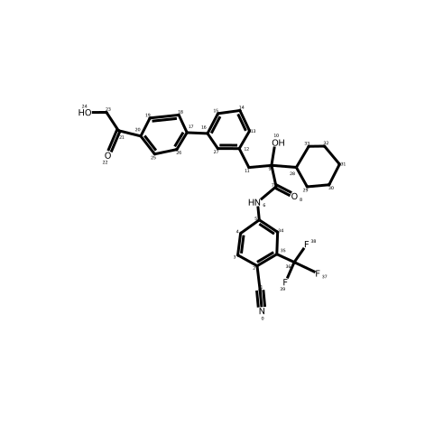 N#Cc1ccc(NC(=O)C(O)(Cc2cccc(-c3ccc(C(=O)CO)cc3)c2)C2CCCCC2)cc1C(F)(F)F